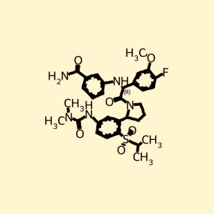 COc1cc([C@@H](Nc2cccc(C(N)=O)c2)C(=O)N2CCCC2c2cc(NC(=O)N(C)C)ccc2S(=O)(=O)C(C)C)ccc1F